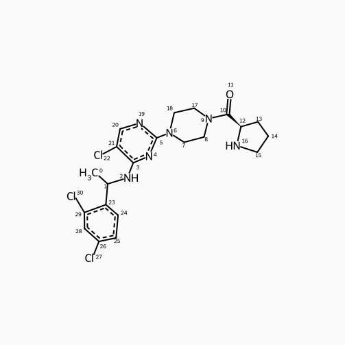 CC(Nc1nc(N2CCN(C(=O)[C@H]3CCCN3)CC2)ncc1Cl)c1ccc(Cl)cc1Cl